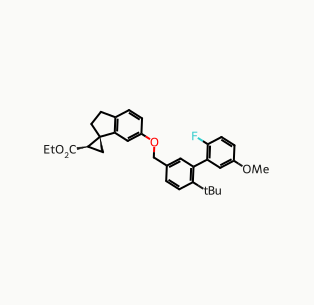 CCOC(=O)[C@@H]1C[C@]12CCc1ccc(OCc3ccc(C(C)(C)C)c(-c4cc(OC)ccc4F)c3)cc12